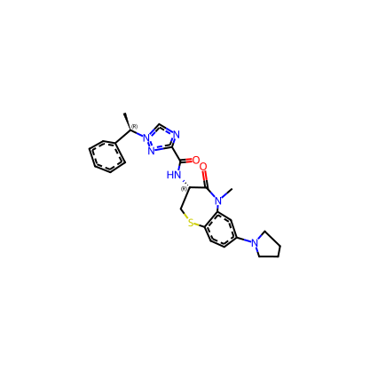 C[C@H](c1ccccc1)n1cnc(C(=O)N[C@H]2CSc3ccc(N4CCCC4)cc3N(C)C2=O)n1